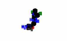 CC(C)(N)CNC(=O)c1ccc(NC2=NC3=C(CN=C(c4ccccc4F)c4cc(Cl)ccc43)CN2)cc1